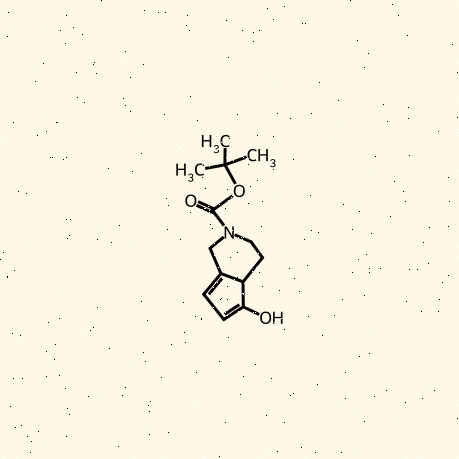 CC(C)(C)OC(=O)N1CCC2C(O)=CC=C2C1